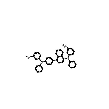 Cc1cccc(N(c2ccccc2)c2ccc(-c3ccc(N(c4ccccc4)c4cccc(C(F)(F)F)c4)c4ccccc34)cc2)c1